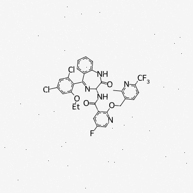 CCOc1cc(Cl)cc(Cl)c1C1=NC(NC(=O)c2cc(F)cnc2OCc2ccc(C(F)(F)F)nc2C)C(=O)Nc2ccccc21